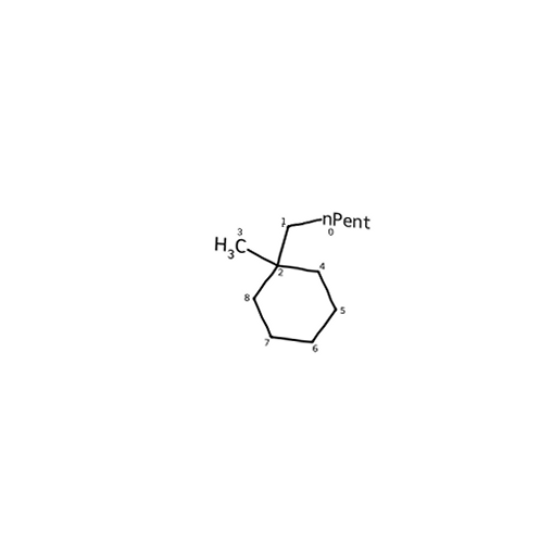 CCCCC[CH]C1(C)CCCCC1